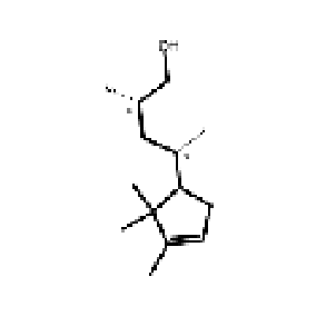 CC1=CCC([C@@H](C)C[C@H](C)CO)C1(C)C